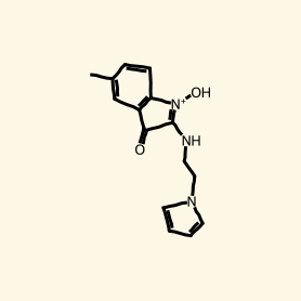 Cc1ccc2c(c1)C(=O)C(NCCn1cccc1)=[N+]2O